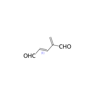 C=C(C=O)/C=C/C=O